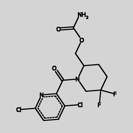 NC(=O)OCC1CCC(F)(F)CN1C(=O)c1nc(Cl)ccc1Cl